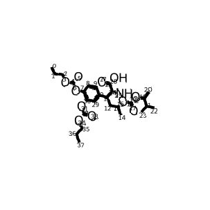 CCCOC(=O)Oc1ccc(C(CC(C)OC(=O)OC(C)C(C)C)[C@H](N)C(=O)O)cc1OC(=O)OCCC